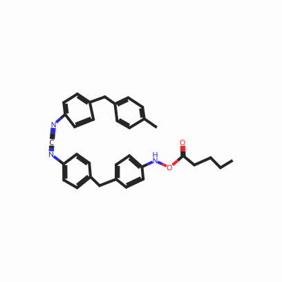 CCCCC(=O)ONc1ccc(Cc2ccc(N=C=Nc3ccc(Cc4ccc(C)cc4)cc3)cc2)cc1